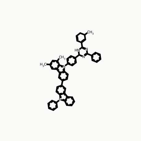 Cc1cc(C)c2c(c1)c1cc(-c3ccc4c(c3)c3ccccc3n4-c3ccccc3)ccc1n2-c1ccc(C2N=C(c3ccccc3)N=C(C3=CC(C)CC=C3)N2)cc1